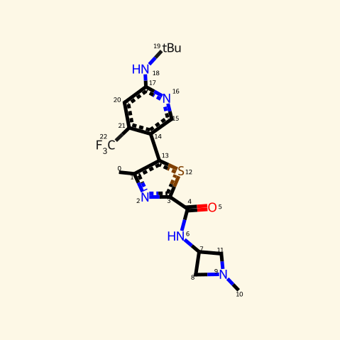 Cc1nc(C(=O)NC2CN(C)C2)sc1-c1cnc(NC(C)(C)C)cc1C(F)(F)F